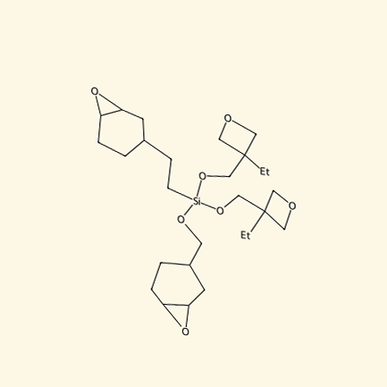 CCC1(CO[Si](CCC2CCC3OC3C2)(OCC2CCC3OC3C2)OCC2(CC)COC2)COC1